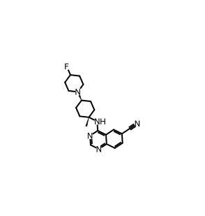 C[C@]1(Nc2ncnc3ccc(C#N)cc23)CC[C@H](N2CCC(F)CC2)CC1